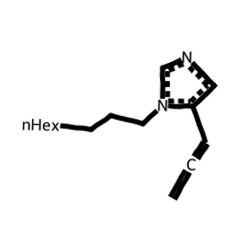 C=C=Cc1cncn1CCCCCCCCC